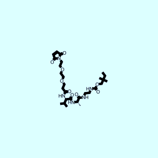 CCC(C)(C)COC(=O)NCCNC(=O)[C@H](C)NC(=O)[C@@H](NC(=O)CCOCCOCCN1C(=O)C=CC1=O)C(C)C